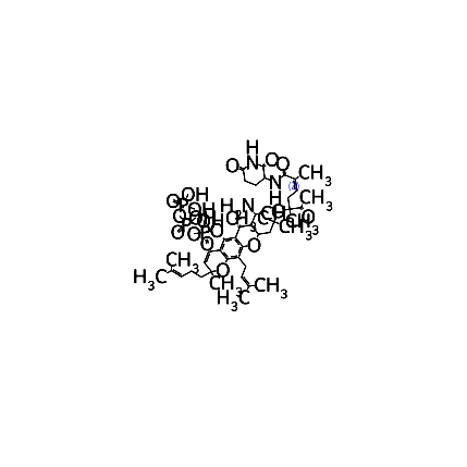 CC(=O)C(C)(C/C=C(/C)C(=O)NC1CCC(=O)NC1=O)OC(C)(C)CC1Oc2c(CC=C(C)C)c3c(c(OP(=O)(O)OP(=O)(O)OP(=O)(O)O)c2C(=O)C1C(C)N)C=CC(C)(CCC=C(C)C)O3